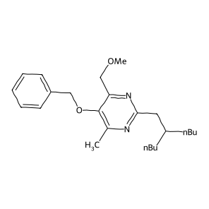 CCCCC(CCCC)Cc1nc(C)c(OCc2ccccc2)c(COC)n1